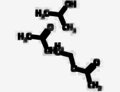 CC(=O)O.CC(C)O.CCOC(C)=O